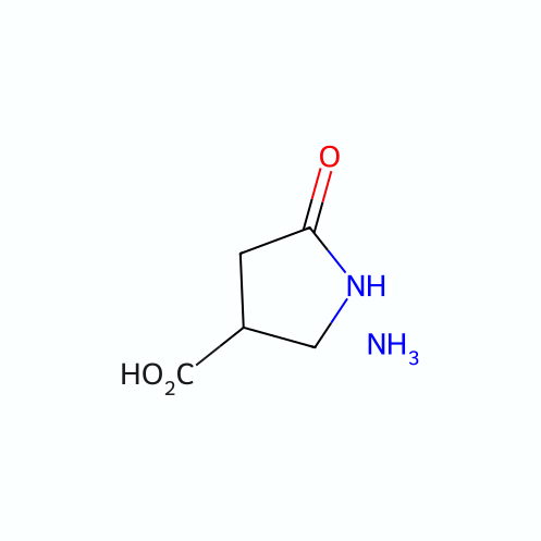 N.O=C1CC(C(=O)O)CN1